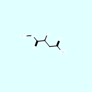 NC(=O)CC(Br)C(=O)NO